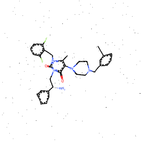 Cc1cccc(CN2CCN(c3c(C)n(Cc4c(F)cccc4F)c(=O)n(C[C@H](N)c4ccccc4)c3=O)CC2)c1